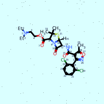 CCN(CC)CCOC(=O)C1N2C(=O)[C@@H](NC(=O)c3c(-c4c(Cl)cccc4Cl)noc3C)[C@H]2SC1(C)C